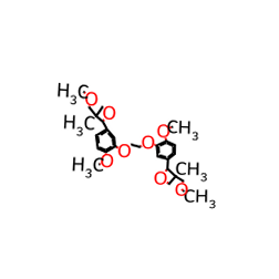 COCC1(C)COC1c1ccc(OC)c(OCCOc2cc(C3OCC3(C)COC)ccc2OC)c1